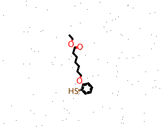 CCOC(=O)CCCCCCOc1ccccc1S